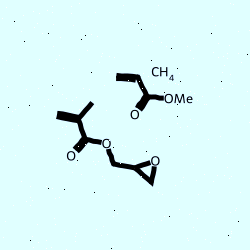 C.C=C(C)C(=O)OCC1CO1.C=CC(=O)OC